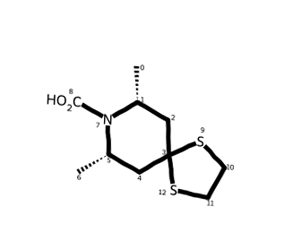 C[C@@H]1CC2(C[C@H](C)N1C(=O)O)SCCS2